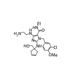 CCNC(=O)c1c(NCCN)nc(NC2(CO)CC=CC2)n1Cc1ccc(OC)c(Cl)c1